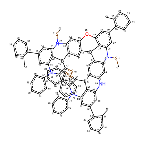 CSN1c2cc3c(cc2B2c4cc5c(cc4Oc4cc(-c6ccccc6C)cc1c42)N(SC)c1cc(-c2ccccc2C)cc2c1B5c1sc4ccccc4c1N2c1ccccc1)B1c2sc4ccccc4c2N(c2ccccc2)c2cc(-c4ccccc4C)cc(c21)N3